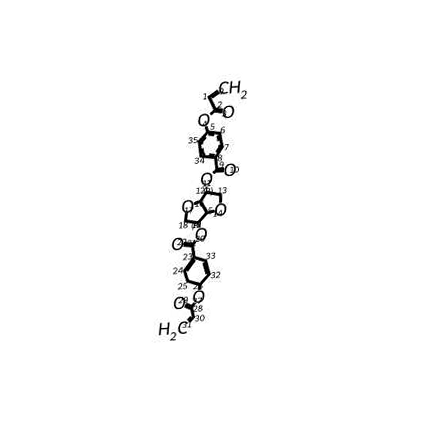 C=CC(=O)Oc1ccc(C(=O)O[C@@H]2COC3C2OC[C@H]3OC(=O)C2=CCC(OC(=O)C=C)C=C2)cc1